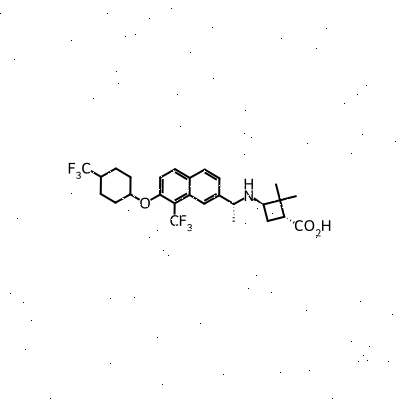 C[C@@H](N[C@@H]1C[C@@H](C(=O)O)C1(C)C)c1ccc2ccc(OC3CCC(C(F)(F)F)CC3)c(C(F)(F)F)c2c1